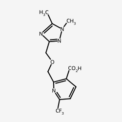 Cc1nc(COCc2nc(C(F)(F)F)ccc2C(=O)O)nn1C